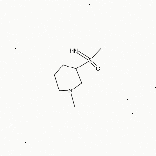 CN1CCCC(S(C)(=N)=O)C1